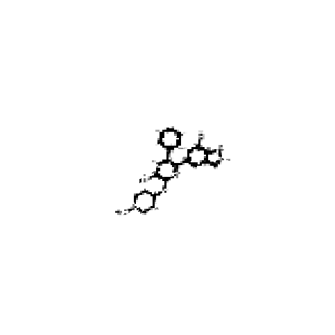 CN1CCC(Sc2nc(-c3cc(Cl)c4[nH]ncc4c3)c(-c3ccccc3)nc2N)CC1